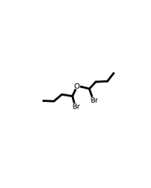 CCCC(Br)OC(Br)CCC